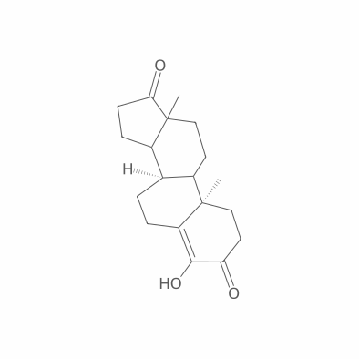 CC12CCC3[C@@H](CCC4=C(O)C(=O)CC[C@@]43C)C1CCC2=O